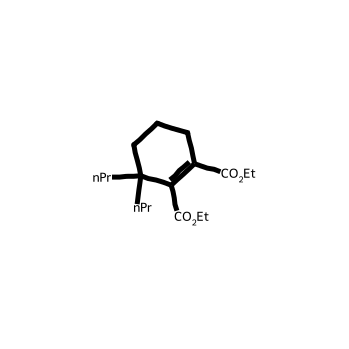 CCCC1(CCC)CCCC(C(=O)OCC)=C1C(=O)OCC